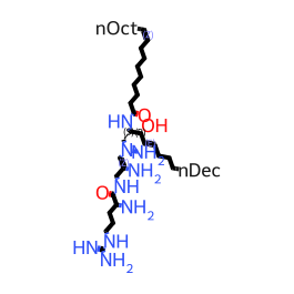 CCCCCCCC/C=C\CCCCCCCC(=O)N[C@@H](CN(N)/C=C(\N)CNC(=O)C(N)CCCNC(=N)N)[C@H](O)/C=C/CCCCCCCCCCCCC